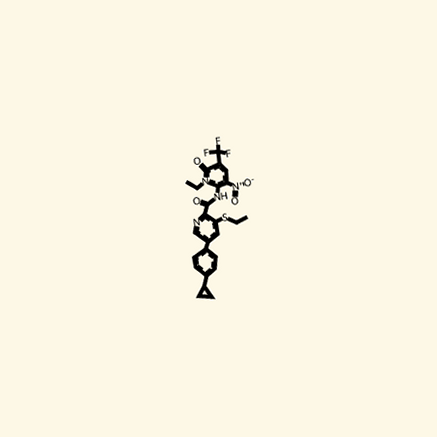 CCSc1cc(-c2ccc(C3CC3)cc2)cnc1C(=O)Nc1c([N+](=O)[O-])cc(C(F)(F)F)c(=O)n1CC